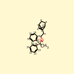 C[Si](OCCC1=CC2CCC1C2)(c1ccccc1)c1ccccc1